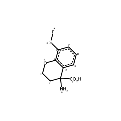 NC1(C(=O)O)CCOc2c(SF)cccc21